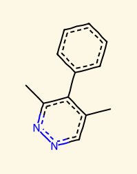 Cc1cnnc(C)c1-c1ccccc1